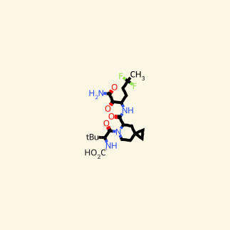 CC(F)(F)CCC(NC(=O)C1CC2(CCN1C(=O)C(NC(=O)O)C(C)(C)C)CC2)C(=O)C(N)=O